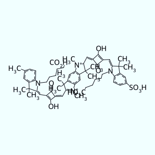 Cc1ccc2c(c1)C(C)(C)C(=CC1=C(O)C(=CC3=[N+](C)c4cc5c(cc4C3(C)C)[N+](C)=C(C=C3C(=O)C(C=C4N(CCCCCC(=O)O)c6ccc(S(=O)(=O)O)cc6C4(C)C)=C3O)C5(C)C)C1=O)N2CCCCCC(=O)O